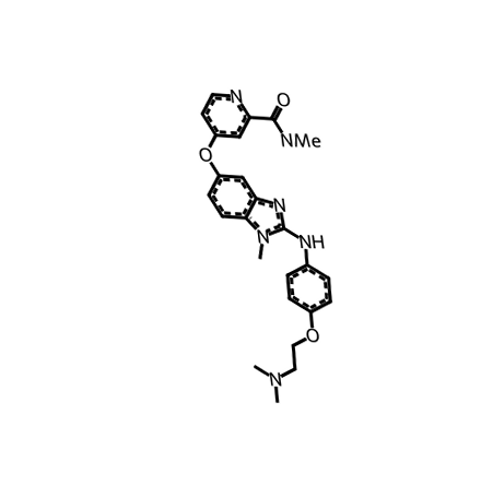 CNC(=O)c1cc(Oc2ccc3c(c2)nc(Nc2ccc(OCCN(C)C)cc2)n3C)ccn1